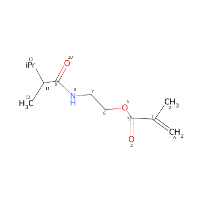 C=C(C)C(=O)OCCNC(=O)C(C)C(C)C